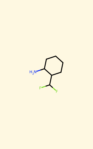 NC1CCCCC1C(F)F